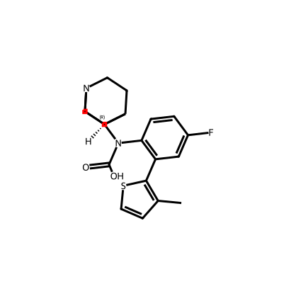 Cc1ccsc1-c1cc(F)ccc1N(C(=O)O)[C@H]1CN2CCC1CC2